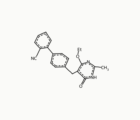 CCOc1nc(C)[nH]c(=O)c1Cc1ccc(-c2ccccc2C#N)cc1